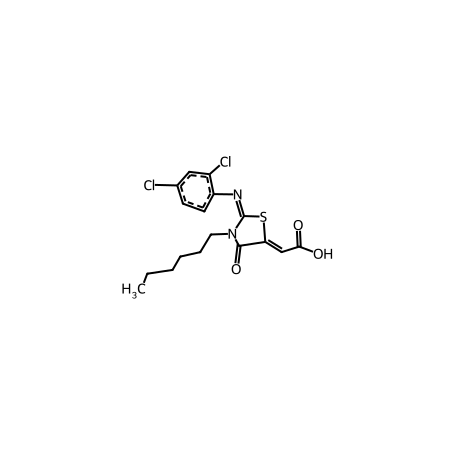 CCCCCCN1C(=O)C(=CC(=O)O)SC1=Nc1ccc(Cl)cc1Cl